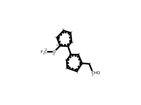 O=CCc1cccc(-c2ccccc2OC(F)(F)F)c1